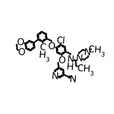 CCC(NCc1cc(Cl)c(OCc2cccc(-c3ccc4c(c3)OCCO4)c2C)cc1OCc1cncc(C#N)c1)N1CCN(C)CC1